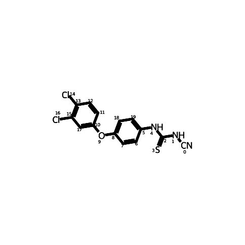 N#CNC(=S)Nc1ccc(Oc2ccc(Cl)c(Cl)c2)cc1